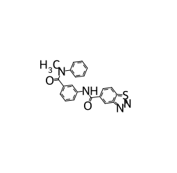 CN(C(=O)c1cccc(NC(=O)c2ccc3snnc3c2)c1)c1ccccc1